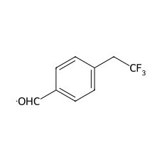 O=[C]c1ccc(CC(F)(F)F)cc1